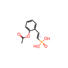 CC(=O)Oc1ccccc1/C=C/P(=O)(O)O